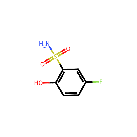 NS(=O)(=O)c1cc(F)ccc1O